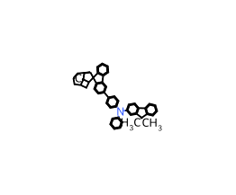 CC1(C)c2ccccc2-c2ccc(N(c3ccccc3)c3ccc(-c4ccc5c(c4)-c4ccccc4C54C5CC6CC7CC4C7(C6)C5)cc3)cc21